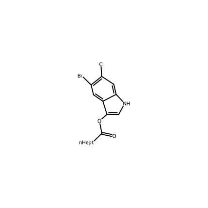 CCCCCCCC(=O)Oc1c[nH]c2cc(Cl)c(Br)cc12